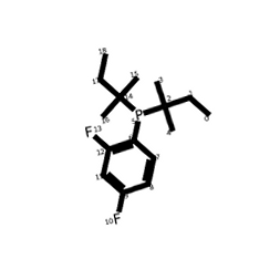 CCC(C)(C)P(c1ccc(F)cc1F)C(C)(C)CC